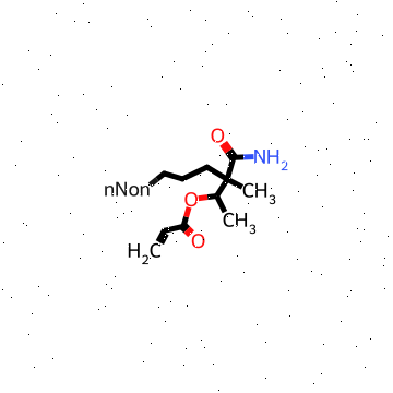 C=CC(=O)OC(C)C(C)(CCCCCCCCCCCC)C(N)=O